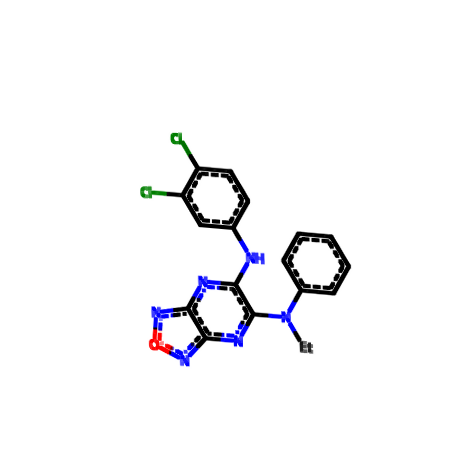 CCN(c1ccccc1)c1nc2nonc2nc1Nc1ccc(Cl)c(Cl)c1